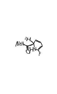 [2H]C1(C(=O)NC)C=CC=C(F)N1